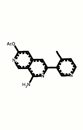 CC(=O)Oc1cc2cc(-c3cnccc3C)nc(N)c2cn1